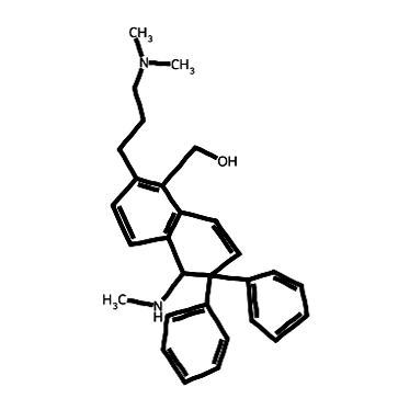 CNC1c2ccc(CCCN(C)C)c(CO)c2C=CC1(c1ccccc1)c1ccccc1